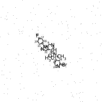 CC(C)(NC(=O)c1cncc2c1cnn2-c1ccc(F)cc1)c1ccnc(Br)c1